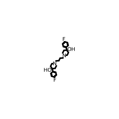 OC1(c2ccc(F)cc2)CCN(CCCCN2CCC(O)(c3ccc(F)cc3)CC2)CC1